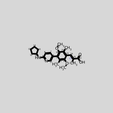 COc1c(C)c(-c2ccc(NC3CCCC3)nc2)c(OC)c(C)c1/C=C(\C)C(=O)O